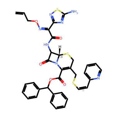 C=CCON=C(C(=O)NC1C(=O)N2C(C(=O)OC(c3ccccc3)c3ccccc3)=C(CS/C=C\c3ccccn3)CS[C@@H]12)c1nsc(N)n1